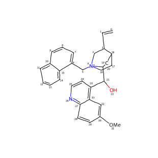 C=CC1C[N+]2(Cc3cccc4ccccc34)CCC1CC2C(O)c1ccnc2ccc(OC)cc12